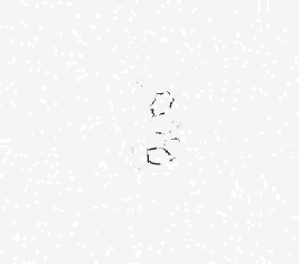 N#Cc1ccc(NS(=O)(=O)c2c[nH]c3c2CC(C(F)(F)F)CC3)c(F)c1